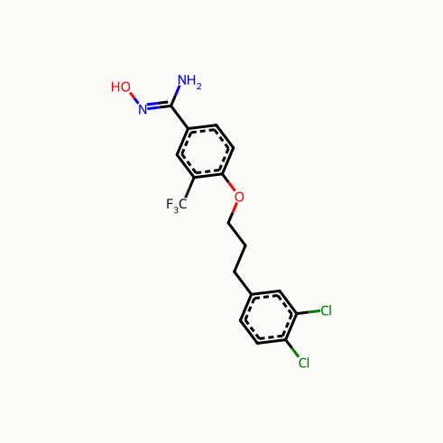 N/C(=N\O)c1ccc(OCCCc2ccc(Cl)c(Cl)c2)c(C(F)(F)F)c1